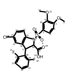 COc1ccc(S(=O)(=O)N2c3ccc(Cl)cc3C(c3c(F)cccc3F)C2C(=O)O)cc1OC